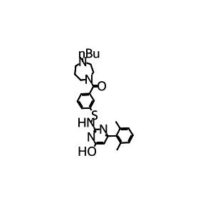 CCCCN1CCCN(C(=O)c2cccc(SNc3nc(O)cc(-c4c(C)cccc4C)n3)c2)CC1